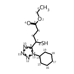 CCOC(=O)CCC(S)c1nnnn1C1CCCCC1